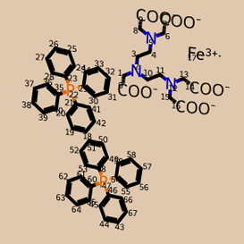 O=C([O-])CN(CCN(CC(=O)[O-])CC(=O)[O-])CCN(CC(=O)[O-])CC(=O)[O-].[Fe+3].c1ccc([P+](c2ccccc2)(c2ccccc2)c2ccccc2)cc1.c1ccc([P+](c2ccccc2)(c2ccccc2)c2ccccc2)cc1